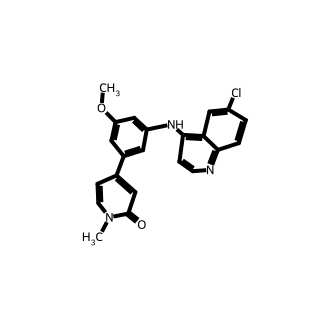 COc1cc(Nc2ccnc3ccc(Cl)cc23)cc(-c2ccn(C)c(=O)c2)c1